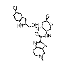 CN1CCc2nc(C(=O)N[C@@H]3COC(=O)C[C@H]3NOCc3cc4cc(Cl)ccc4[nH]3)sc2C1